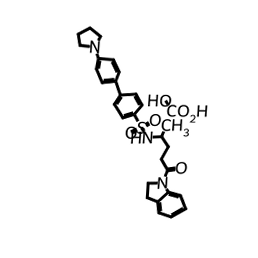 CC(CCC(=O)N1CCc2ccccc21)NS(=O)(=O)c1ccc(-c2ccc(N3CCCC3)cc2)cc1.O=C(O)O